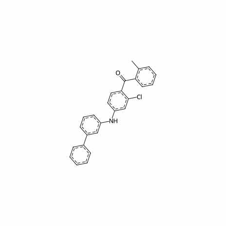 Cc1ccccc1C(=O)c1ccc(Nc2cccc(-c3ccccc3)c2)cc1Cl